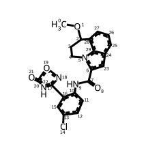 COC1CCn2c(C(=O)Nc3ccc(Cl)cc3-c3noc(=O)[nH]3)cc3cccc1c32